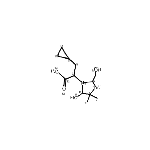 CC1(C)NC(O)N(C(CC2CC2)C(=O)O)C1O